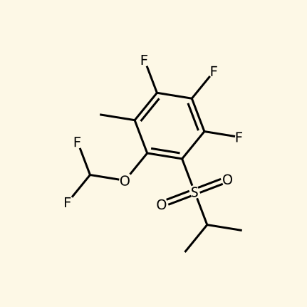 Cc1c(F)c(F)c(F)c(S(=O)(=O)C(C)C)c1OC(F)F